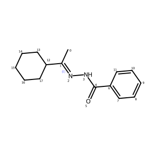 C/C(=N\NC(=O)c1ccccc1)C1CCCCC1